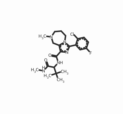 CNC(=O)C(NC(=O)c1nc(-c2cc(F)ccc2Cl)n2c1CN(C)CCC2)C(C)(C)C